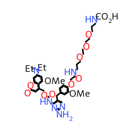 CCN(CC)c1ccc2c(COC(=O)Nc3nc(N)ncc3Cc3cc(OC)c(OCC(=O)NCCCOCCOCCOCCCNC(=O)O)c(OC)c3)cc(=O)oc2c1